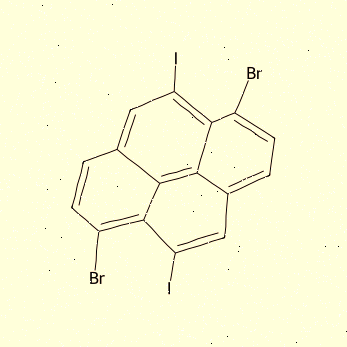 Brc1ccc2cc(I)c3c(Br)ccc4cc(I)c1c2c43